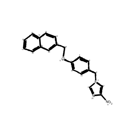 O=[N+]([O-])c1cn(Cc2ccc(OCc3ccc4ccccc4c3)cc2)cn1